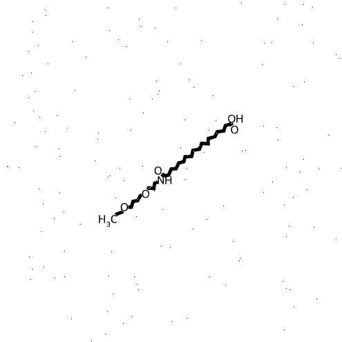 CCCOCCCCOCCCNC(=O)CCCCCCCCCCCCCCCCC(=O)O